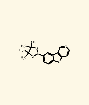 CC1(C)OB(c2ccc3oc4ccncc4c3c2)OC1(C)C